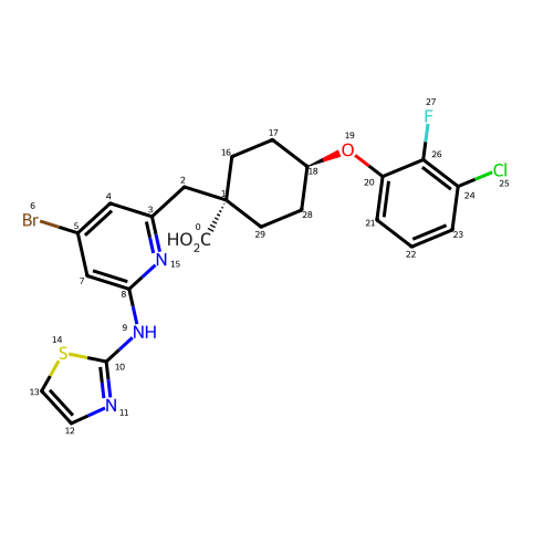 O=C(O)[C@]1(Cc2cc(Br)cc(Nc3nccs3)n2)CC[C@@H](Oc2cccc(Cl)c2F)CC1